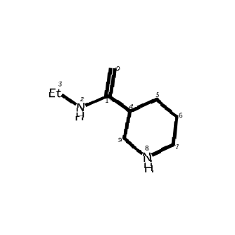 C=C(NCC)C1CCCNC1